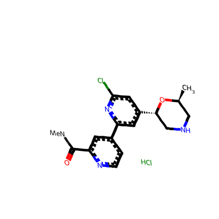 CNC(=O)c1cc(-c2cc([C@H]3CNC[C@H](C)O3)cc(Cl)n2)ccn1.Cl